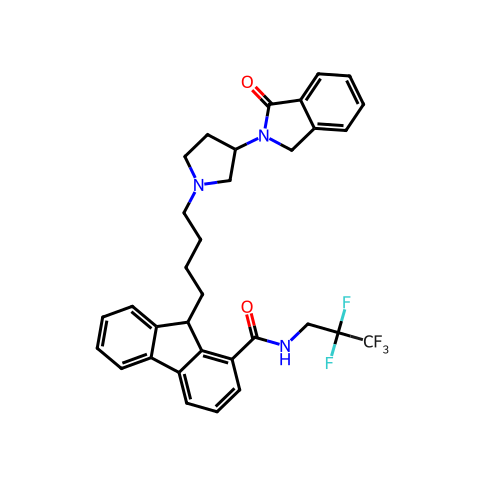 O=C(NCC(F)(F)C(F)(F)F)c1cccc2c1C(CCCCN1CCC(N3Cc4ccccc4C3=O)C1)c1ccccc1-2